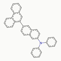 c1ccc(N(c2ccccc2)c2ccc3cc(-c4cc5ccccc5c5ccccc45)ccc3c2)cc1